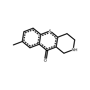 Cc1ccc2sc3c(c(=O)c2c1)CNCC3